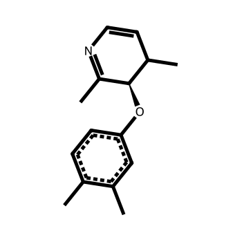 CC1=NC=CC(C)[C@H]1Oc1ccc(C)c(C)c1